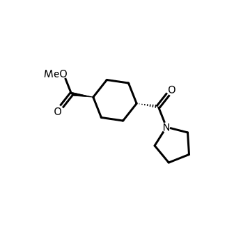 COC(=O)[C@H]1CC[C@H](C(=O)N2CCCC2)CC1